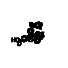 CC1CN(C(=O)c2ccc3c(C4=CCC(C(=O)O)CC4)nn(C(=O)c4c(Cl)cccc4C(F)(F)F)c3c2)CCO1